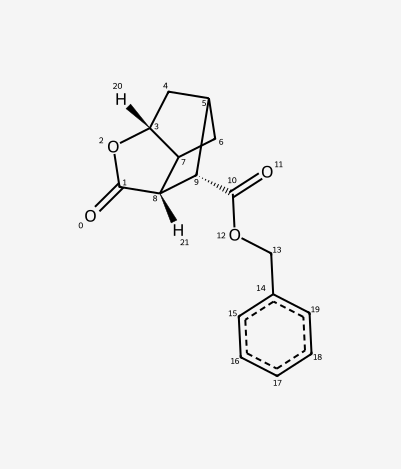 O=C1O[C@@H]2CC3CC2[C@@H]1[C@H]3C(=O)OCc1ccccc1